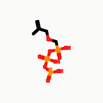 C=C(C)COCP(=O)(O)OP(=O)(O)O[PH](=O)O